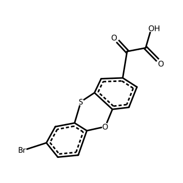 O=C(O)C(=O)c1ccc2c(c1)Sc1cc(Br)ccc1O2